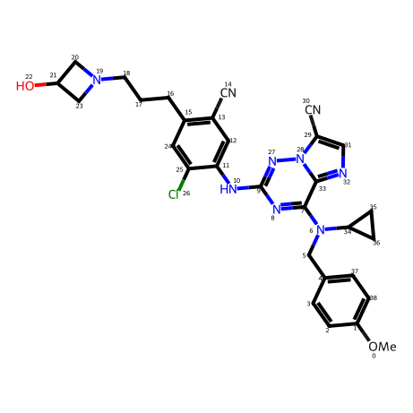 COc1ccc(CN(c2nc(Nc3cc(C#N)c(CCCN4CC(O)C4)cc3Cl)nn3c(C#N)cnc23)C2CC2)cc1